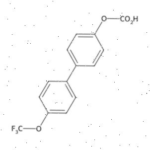 O=C(O)Oc1ccc(-c2ccc(OC(F)(F)F)cc2)cc1